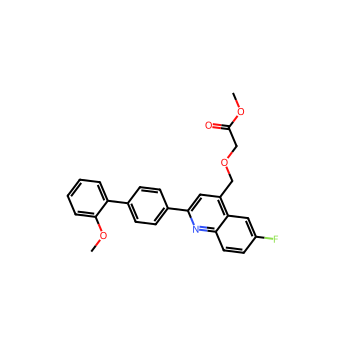 COC(=O)COCc1cc(-c2ccc(-c3ccccc3OC)cc2)nc2ccc(F)cc12